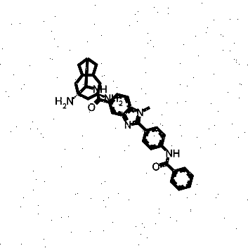 Cn1c(-c2ccc(NC(=O)c3ccccc3)cc2)nc2cc(C(=O)NC3C4CC5C[C@@H](N)C[C@@]3(N)CC5C4)ccc21